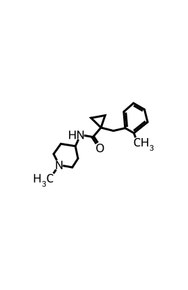 Cc1ccccc1CC1(C(=O)NC2CCN(C)CC2)CC1